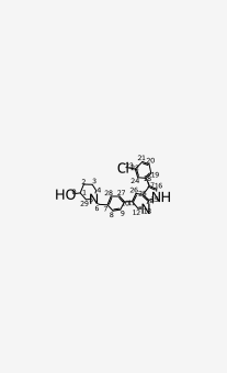 OC1CCCN(Cc2ccc(-c3cnc4[nH]cc(-c5cccc(Cl)c5)c4c3)cc2)C1